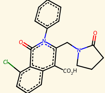 O=C(O)c1c(CN2CCCC2=O)n(-c2ccccc2)c(=O)c2c(Cl)cccc12